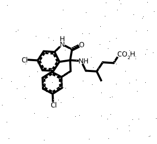 CC(CCC(=O)O)CNC1(Cc2cccc(Cl)c2)C(=O)Nc2cc(Cl)ccc21